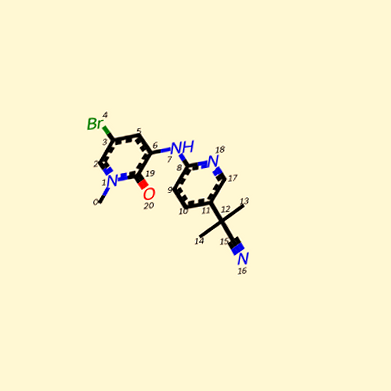 Cn1cc(Br)cc(Nc2ccc(C(C)(C)C#N)cn2)c1=O